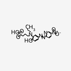 CCCN(CCCS(=O)(=O)O)c1cc(N=Nc2ccc([N+](=O)[O-])cn2)ccc1O